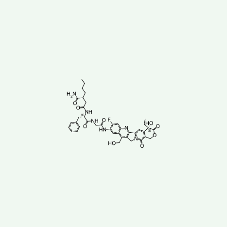 CCCCC(CC(=O)N[C@@H](Cc1ccccc1)C(=O)NCC(=O)Nc1cc2c(CO)c3c(nc2cc1F)-c1cc2c(c(=O)n1C3)COC(=O)[C@]2(O)CC)C(N)=O